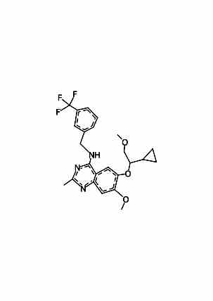 COCC(Oc1cc2c(NCc3cccc(C(F)(F)F)c3)nc(C)nc2cc1OC)C1CC1